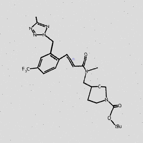 Cc1nnn(Cc2cc(C(F)(F)F)ccc2/C=C/C(=O)N(C)CC2CCN(C(=O)OC(C)(C)C)CC2)n1